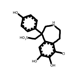 O=S(=O)(O)CC1(c2ccc(O)cc2)CNCCc2c1cc(O)c(O)c2Cl